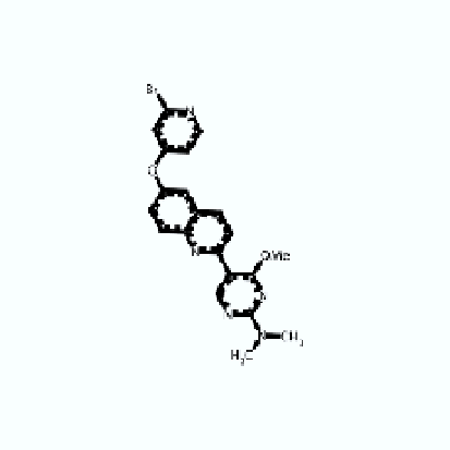 COc1nc(N(C)C)ncc1-c1ccc2cc(Oc3ccnc(Br)c3)ccc2n1